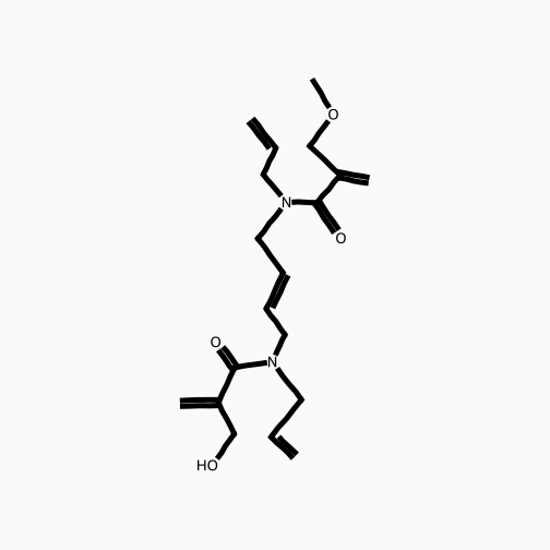 C=CCN(C/C=C/CN(CC=C)C(=O)C(=C)COC)C(=O)C(=C)CO